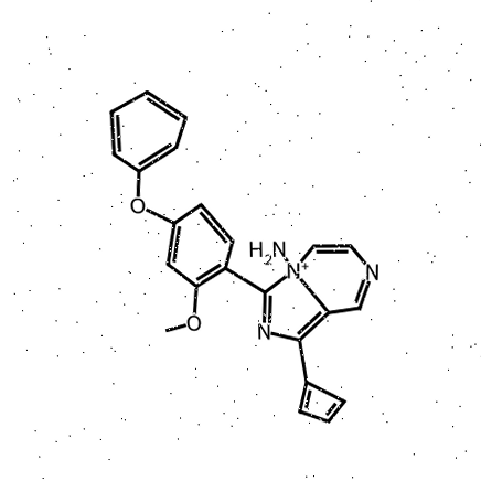 COc1cc(Oc2ccccc2)ccc1C1=NC(C2=CC=C2)=C2C=NC=C[N+]12N